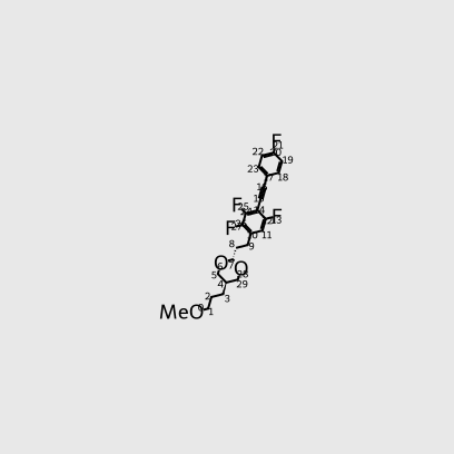 COCCC[C@H]1CO[C@H](CCc2cc(F)c(C#Cc3ccc(F)cc3)c(F)c2F)OC1